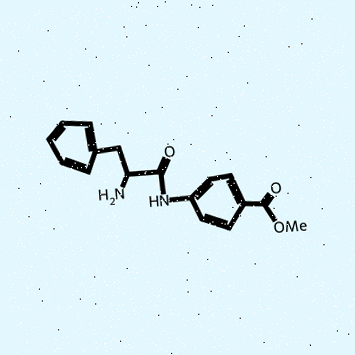 COC(=O)c1ccc(NC(=O)C(N)Cc2ccccc2)cc1